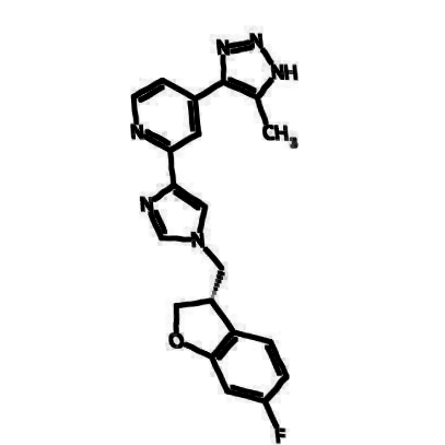 Cc1[nH]nnc1-c1ccnc(-c2cn(C[C@H]3COc4cc(F)ccc43)cn2)c1